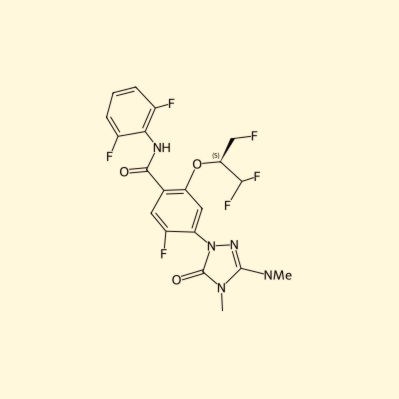 CNc1nn(-c2cc(O[C@@H](CF)C(F)F)c(C(=O)Nc3c(F)cccc3F)cc2F)c(=O)n1C